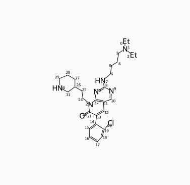 CCN(CC)CCCCNc1ncc2cc(-c3ccccc3Cl)c(=O)n(CCC3CCCNC3)c2n1